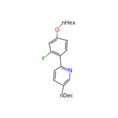 CCCCCCCCCCc1ccc(-c2ccc(OCCCCCC)cc2F)nc1